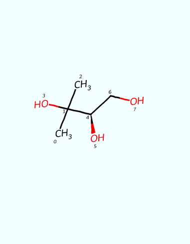 CC(C)(O)[C@H](O)CO